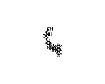 C#CCNC(=O)CCc1ccc(S(=O)(=O)NC(=O)Nc2c3c(cc4c2CCC4)CCC3)cc1